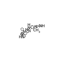 Cc1cc(Nc2ncc3c(n2)N(C2CCCC2)C(=O)C2(CCNC2=O)C3)ccc1N1CC2(CNC2)C1